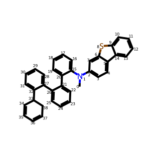 CN(c1ccc2c(c1)sc1ccccc12)c1ccccc1-c1ccccc1-c1ccccc1C1C=CC=CC1